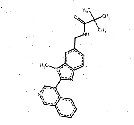 Cn1c(-c2cncc3ccccc23)nc2ccc(CNC(=O)C(C)(C)C)cc21